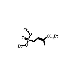 CCOC(=O)/C(C)=C/CP(=O)(OCC)OCC